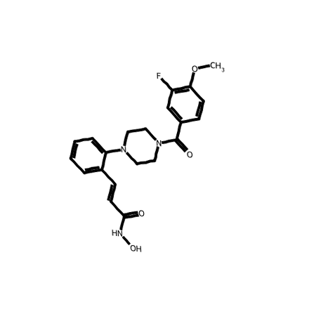 COc1ccc(C(=O)N2CCN(c3ccccc3C=CC(=O)NO)CC2)cc1F